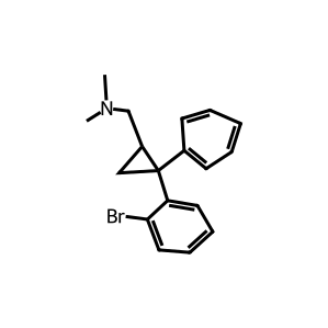 CN(C)CC1CC1(c1ccccc1)c1ccccc1Br